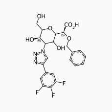 O=C(O)[C@@H](OCc1ccccc1)C1OC(CO)[C@H](O)C(n2cc(-c3cc(F)c(F)c(F)c3)nn2)C1O